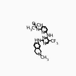 CN1CCc2ccc(Nc3ncc(C(F)(F)F)c(Nc4cccc(N=S(C)(C)=O)n4)n3)cc2C1